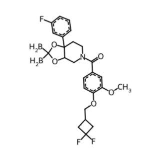 BC1(B)OC2CN(C(=O)c3ccc(OCC4CC(F)(F)C4)c(OC)c3)CCC2(c2cccc(F)c2)O1